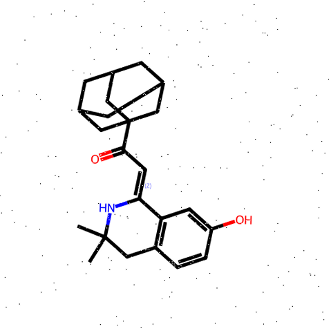 CC1(C)Cc2ccc(O)cc2/C(=C/C(=O)C23CC4CC(CC(C4)C2)C3)N1